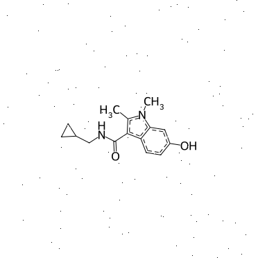 Cc1c(C(=O)NCC2CC2)c2ccc(O)cc2n1C